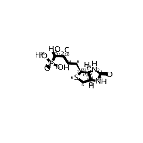 O=C1N[C@H]2[C@H](CS[C@H]2CCCC(C(=O)O)P(=O)(O)O)N1